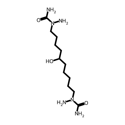 NC(=O)N(N)CCCCCC(O)CCCCN(N)C(N)=O